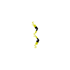 S=CSC=S